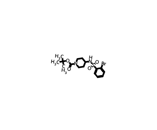 CC(C)(C)OC(=O)N1CCC(NS(=O)(=O)c2ccccc2Br)CC1